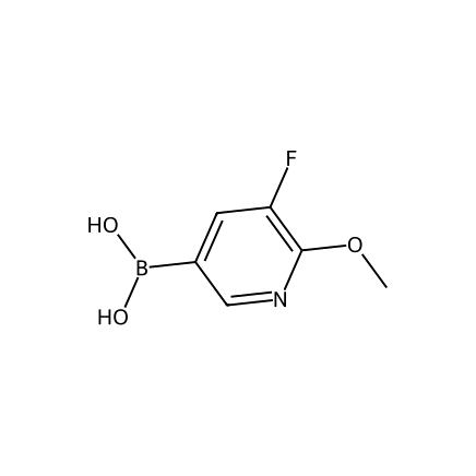 COc1ncc(B(O)O)cc1F